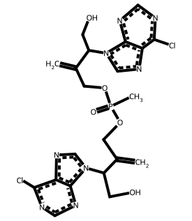 C=C(COP(C)(=O)OCC(=C)C(CO)n1cnc2c(Cl)ncnc21)C(CO)n1cnc2c(Cl)ncnc21